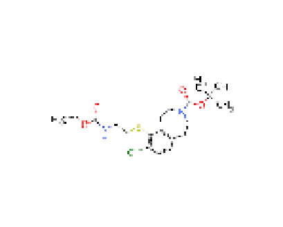 CCOC(=O)NCCSc1c(Cl)ccc2c1CCN(C(=O)OC(C)(C)C)CC2